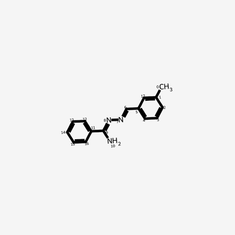 Cc1cccc(/C=N/N=C(\N)c2ccccc2)c1